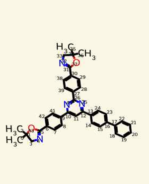 CC1(C)CN=C(c2ccc(-c3cc(-c4ccc(-c5ccccc5)cc4)nc(-c4ccc(C5=NCC(C)(C)O5)cc4)n3)cc2)O1